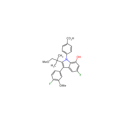 COCC(C)(C)c1c(-c2ccc(F)c(OC)c2)c2cc(F)cc(O)c2n1-c1ccc(C(=O)O)cc1